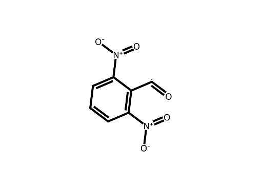 O=[C]c1c([N+](=O)[O-])cccc1[N+](=O)[O-]